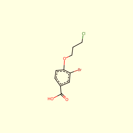 O=C(O)c1ccc(OCCCCl)c(Br)c1